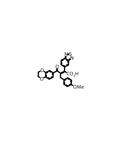 COc1ccc(C/C(C(=O)c2ccc3c(c2)OCCO3)=C(\C(=O)O)c2ccc3nsnc3c2)cc1